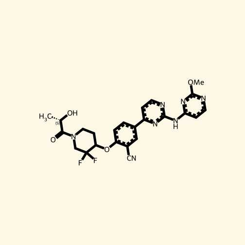 COc1nccc(Nc2nccc(-c3ccc(OC4CCN(C(=O)[C@H](C)O)CC4(F)F)c(C#N)c3)n2)n1